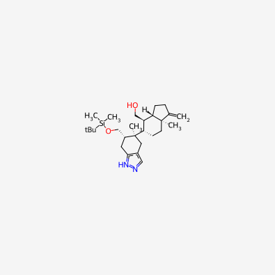 C=C1CC[C@H]2[C@H](CO)[C@@H]([C@@]3(C)Cc4cn[nH]c4C[C@@H]3CO[Si](C)(C)C(C)(C)C)CC[C@]12C